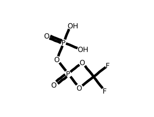 O=P(O)(O)OP1(=O)OC(F)(F)O1